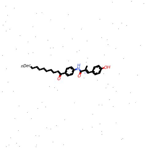 CCCCCCCCCCCCCCCCCCC(=O)c1ccc(NC(=O)/C(C)=C/c2ccc(O)cc2)cc1